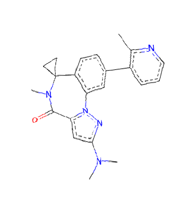 Cc1ncccc1-c1ccc2c(c1)-n1nc(N(C)C)cc1C(=O)N(C)C21CC1